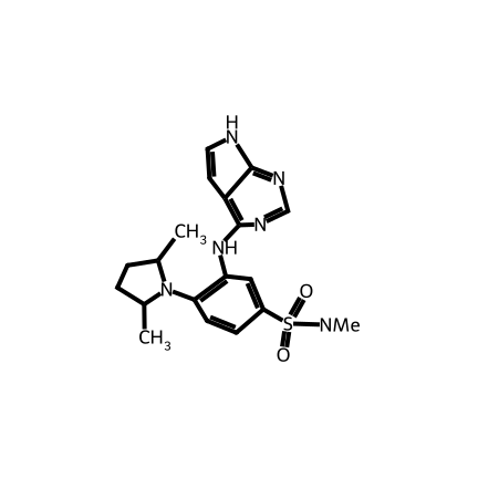 CNS(=O)(=O)c1ccc(N2C(C)CCC2C)c(Nc2ncnc3[nH]ccc23)c1